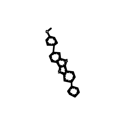 COc1ccc(-c2ccc3c(c2)sc2c4ccc(-c5ccccc5)cc4sc32)cc1